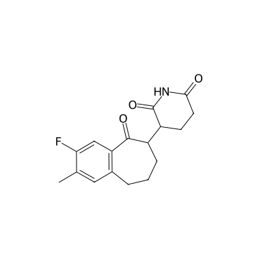 Cc1cc2c(cc1F)C(=O)C(C1CCC(=O)NC1=O)CCC2